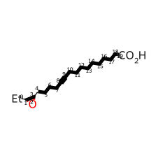 CC[C@H]1O[C@H]1CCCCC#CCCCCCCCCCC(=O)O